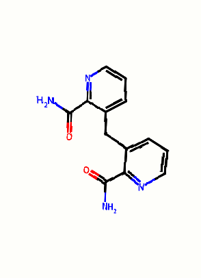 NC(=O)c1ncccc1Cc1cccnc1C(N)=O